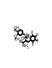 COc1ccc(NS(=O)(=O)/C(=C\c2c(F)c(F)c(F)c(F)c2F)C(N)=O)cc1OC